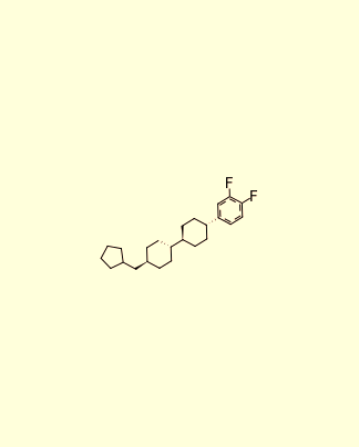 Fc1ccc([C@H]2CC[C@H]([C@H]3CC[C@H](CC4CCCC4)CC3)CC2)cc1F